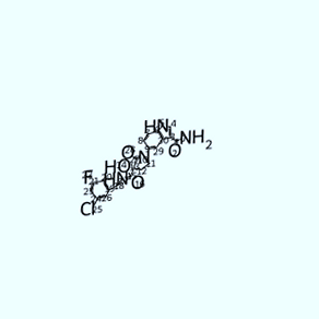 NC(=O)c1c[nH]c2ccc(N3CC[C@@](O)(C(=O)NCc4cc(F)cc(Cl)c4)C3=O)cc12